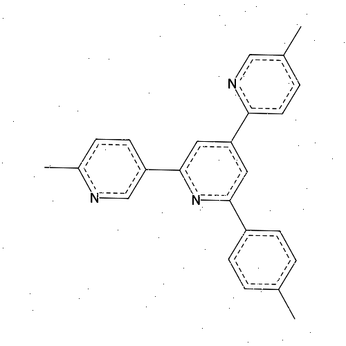 Cc1ccc(-c2cc(-c3ccc(C)cn3)cc(-c3ccc(C)nc3)n2)cc1